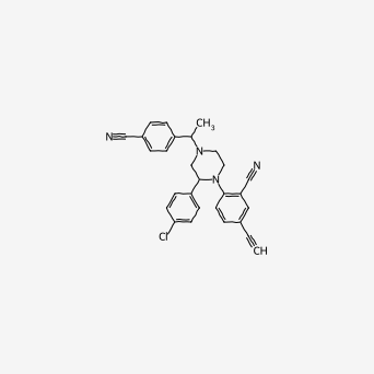 C#Cc1ccc(N2CCN(C(C)c3ccc(C#N)cc3)CC2c2ccc(Cl)cc2)c(C#N)c1